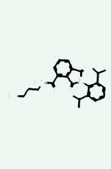 CC(C)c1cccc(C(C)C)c1N1C(=O)c2cccc(C(=O)NCCCO)c2C1=O